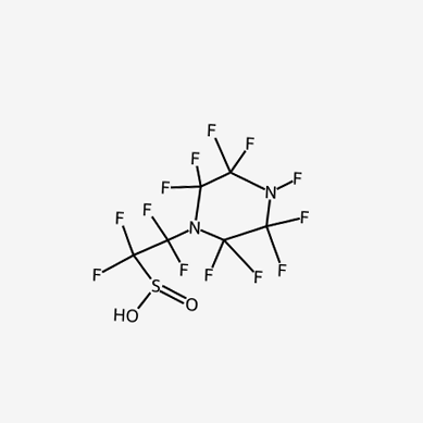 O=S(O)C(F)(F)C(F)(F)N1C(F)(F)C(F)(F)N(F)C(F)(F)C1(F)F